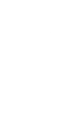 c1ccc2c(c1)CCC2.c1ccc2c(c1)Cc1ccccc1-2